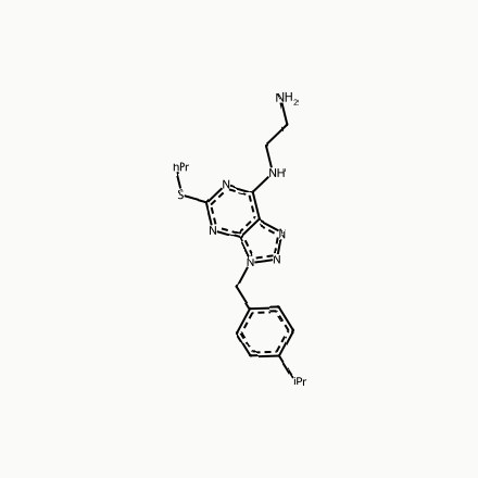 CCCSc1nc(NCCN)c2nnn(Cc3ccc(C(C)C)cc3)c2n1